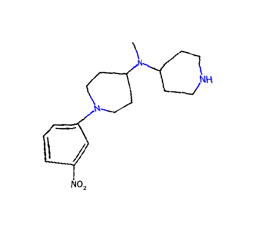 CN(C1CCNCC1)C1CCN(c2cccc([N+](=O)[O-])c2)CC1